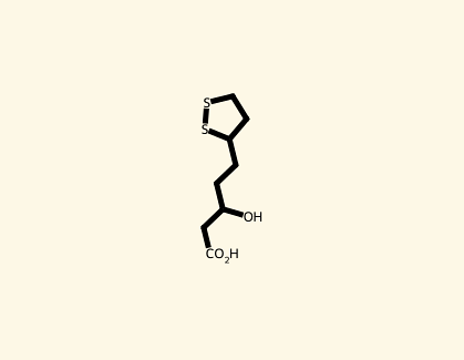 O=C(O)CC(O)CCC1CCSS1